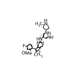 COc1cc(F)ccc1-c1c(C)sc2cnc(N/C(C=N)=C/NC3CCNC(C)C3)nc12